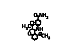 COc1cccc2c1C1Nc3ccc(C(N)=O)cc3C(C)(C)C1CO2